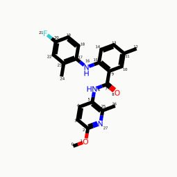 COc1ccc(NC(=O)c2cc(C)ccc2Nc2ccc(F)cc2C)c(C)n1